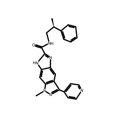 C[C@H](CNC(=O)c1nc2cc3c(-c4ccncc4)nn(C)c3cc2[nH]1)c1ccccc1